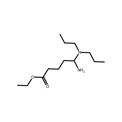 CCCN(CCC)C(N)CCCC(=O)OCC